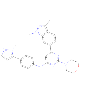 Cc1nn(C)c2cc(-c3cc(Nc4ccc(-c5ccnn5C)cc4)nc(N4CCOCC4)n3)ccc12